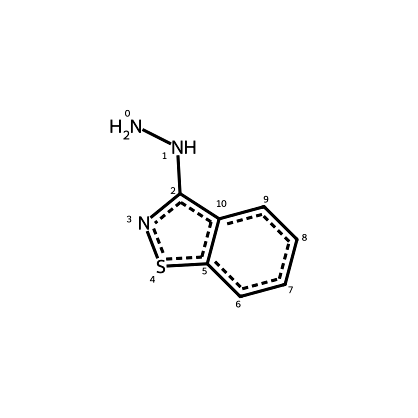 NNc1nsc2ccccc12